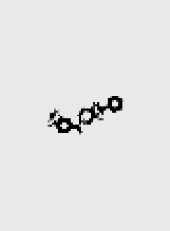 CC(c1ccc2scnc2c1)N1CCc2nc(-c3ccccc3)oc2C1